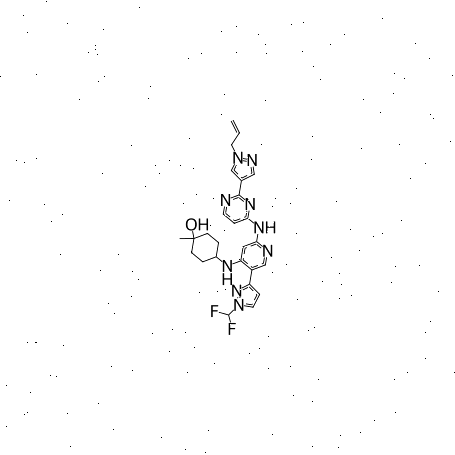 C=CCn1cc(-c2nccc(Nc3cc(NC4CCC(C)(O)CC4)c(-c4ccn(C(F)F)n4)cn3)n2)cn1